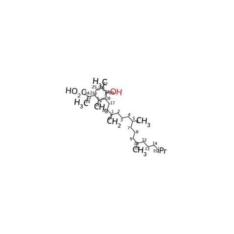 C=C(CCCC(C)CCCC(C)CCCC(C)C)CCc1c(C)c(C(C)C(=O)O)cc(C)c1O